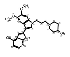 COc1cc2c(nc1OC)c(-c1cc3c(Cl)ccnc3[nH]1)cn2CCCN1CCC(O)CC1